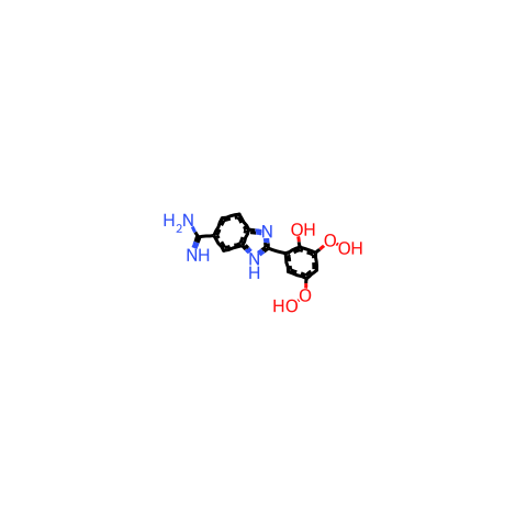 N=C(N)c1ccc2nc(-c3cc(OO)cc(OO)c3O)[nH]c2c1